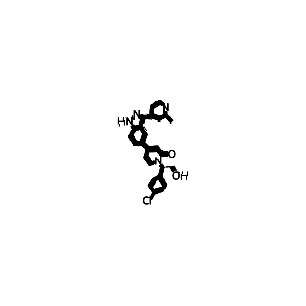 Cc1cc(-c2n[nH]c3ccc(-c4ccn([C@H](CO)c5ccc(Cl)cc5)c(=O)c4)cc23)ccn1